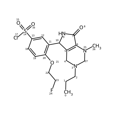 CCCN1CC2=C(C(=O)NC2c2cc(S(=O)(=O)Cl)ccc2OCCF)N(C)C1